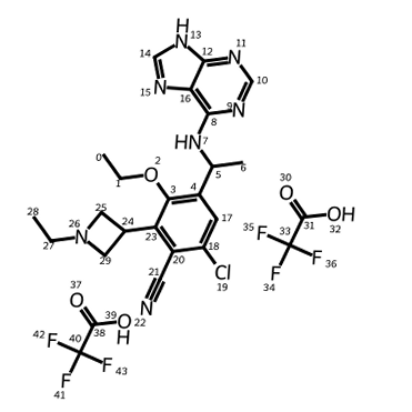 CCOc1c(C(C)Nc2ncnc3[nH]cnc23)cc(Cl)c(C#N)c1C1CN(CC)C1.O=C(O)C(F)(F)F.O=C(O)C(F)(F)F